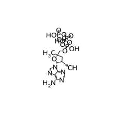 C#CC1C[C@@](C)(COP(=O)(O)OP(=O)(O)OP(=O)(O)O)O[C@H]1n1cnc2c(N)ncnc21